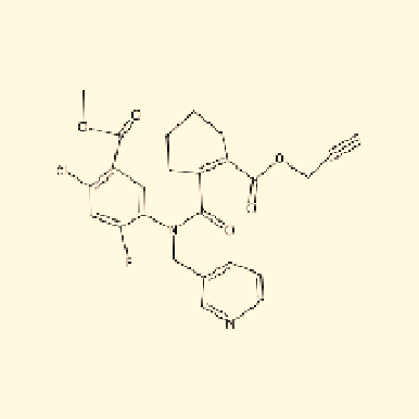 C#CCOC(=O)C1=C(C(=O)N(Cc2cccnc2)c2cc(C(=O)OC)c(Cl)cc2F)CCCC1